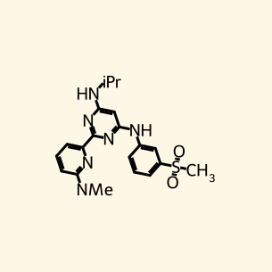 CNc1cccc(-c2nc(Nc3cccc(S(C)(=O)=O)c3)cc(NC(C)C)n2)n1